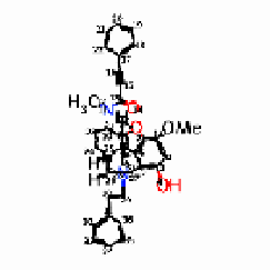 COc1cc(O)c2c3c1O[C@H]1[C@@H](N(C)C(=O)C#Cc4ccccc4)CC[C@H]4[C@@H](C2)N(CCc2ccccc2)CC[C@@]341